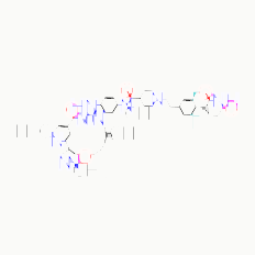 Cc1cc2cc(n1)-c1cnn(C)c1OCCC[C@@H](C)CN1/C(=N/C2=O)Nc2ccc(N(C)C(=O)C3CCN(CCc4cc(F)c([C@H]5CCC(=O)NC5=O)c(F)c4)CC3)cc21